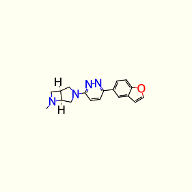 CN1C[C@H]2CN(c3ccc(-c4ccc5occc5c4)nn3)C[C@H]21